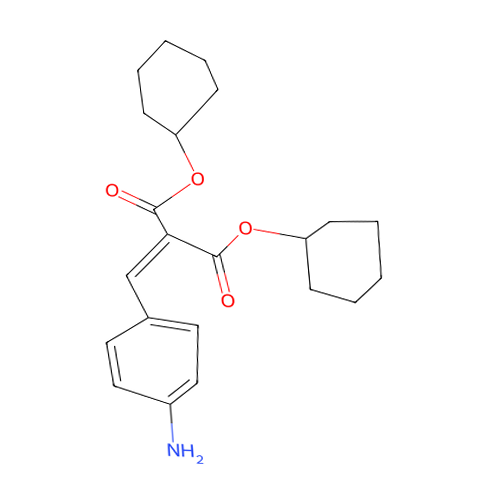 Nc1ccc(C=C(C(=O)OC2CCCCC2)C(=O)OC2CCCCC2)cc1